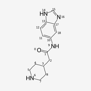 O=C(CC1CCNCC1)Nc1ccc2[nH][c]nc2c1